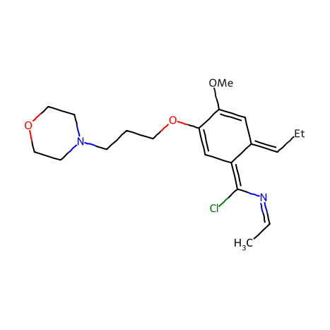 C\C=N/C(Cl)=c1/cc(OCCCN2CCOCC2)c(OC)c/c1=C\CC